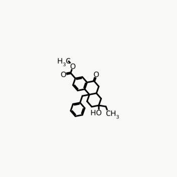 CCC1(O)CCC2(Cc3ccccc3)c3ccc(C(=O)OC)cc3C(=O)CC2C1